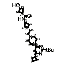 CC(C)(C)c1nc(C2CCC2)cc(N2CCN(CC[C@H]3C[C@H](NC(=O)[C@H]4C[C@@H](O)C4)C3)CC2)n1